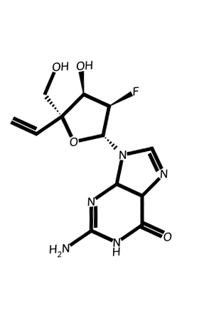 C=C[C@]1(CO)O[C@@H](N2C=NC3C(=O)NC(N)=NC32)[C@H](F)[C@@H]1O